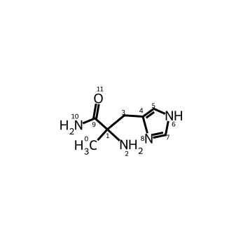 CC(N)(Cc1c[nH]cn1)C(N)=O